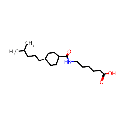 CC(C)CCC[C@H]1CC[C@@H](C(=O)NCCCCCC(=O)O)CC1